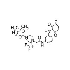 CC(C)(C)OC(=O)N1CCN(CC(=O)Nc2cccc(NC3C(=O)CCNC3=O)c2)[C@H](C(F)(F)F)C1